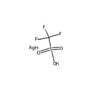 O=S(=O)(O)C(F)(F)F.[AgH]